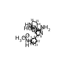 CC(=O)Nc1cc(-c2cnc(N)c(N3CCCNS3(O)O)c2)ccn1